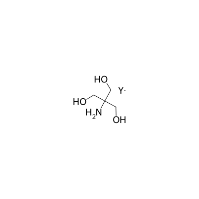 NC(CO)(CO)CO.[Y]